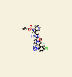 CCCCOC(=O)n1cc(-c2cnc([C@@H]3CCC4CC(c5c(-n6cnnn6)ccc(Cl)c5F)=CC(=O)N43)[nH]2)c2cnccc21